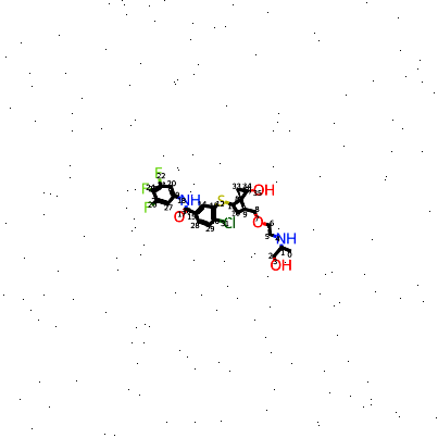 CC(CO)NCCOCC1CC(Sc2cc(C(=O)Nc3cc(F)c(F)c(F)c3)ccc2Cl)[C@@]12C[C@H]2O